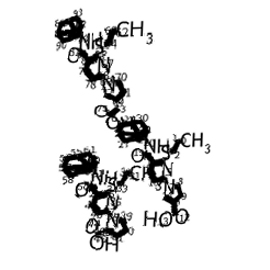 CCCSc1nc(N2CCC(C(=O)O)C2)ccc1C(=O)NC1C2CC3CC(C2)CC1C3.CCCSc1nc(N2CCC[C@H]2C(=O)O)ccc1C(=O)NC1C2CC3CC(C2)CC1C3.CCCSc1nc(N2CC[C@H](CC(=O)O)C2)ccc1C(=O)NC1C2CC3CC(C2)CC1C3